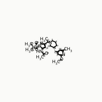 COc1cc(C[C@H]2CCCN(C(C)c3cc(NC(C)=O)n(S(=O)(=O)N(C)C)n3)C2)cc(C)n1